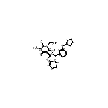 CC(C)CN1c2nn(Cc3cccc(CN4CCCC4)c3)c(Nc3ccccc3)c2C(=O)N(C)C1O